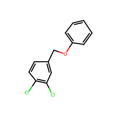 Clc1ccc(COc2[c]cccc2)cc1Cl